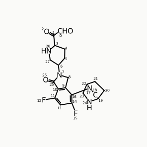 O=CC(=O)C1CCC(N2Cc3c(c(F)cc(F)c3N3CC4CCC3CN4)C2=O)CN1